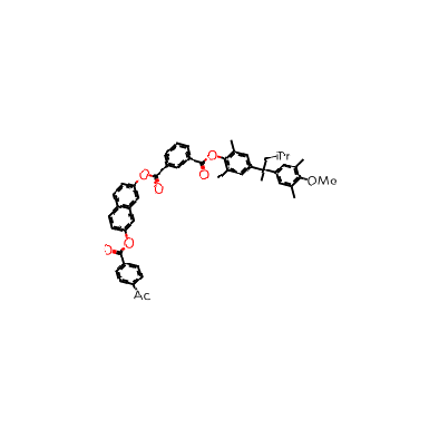 COc1c(C)cc(C(C)(CC(C)C)c2cc(C)c(OC(=O)c3cccc(C(=O)Oc4ccc5ccc(OC(=O)c6ccc(C(C)=O)cc6)cc5c4)c3)c(C)c2)cc1C